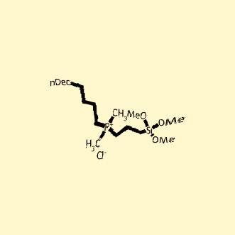 CCCCCCCCCCCCCC[P+](C)(C)CCC[Si](OC)(OC)OC.[Cl-]